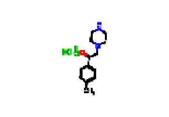 Cc1ccc(C(=O)CN2CCNCC2)cc1.Cl.Cl